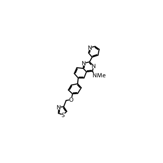 CNc1nc(-c2cccnc2)nc2ccc(-c3ccc(OCc4cscn4)cc3)cc12